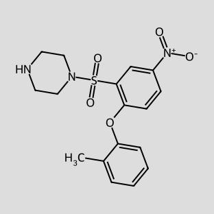 Cc1ccccc1Oc1ccc([N+](=O)[O-])cc1S(=O)(=O)N1CCNCC1